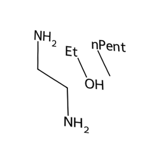 CCCCCC.CCO.NCCN